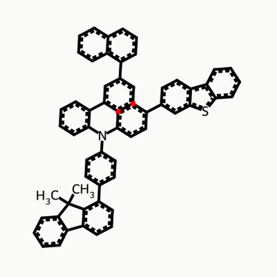 CC1(C)c2ccccc2-c2cccc(-c3ccc(N(c4ccc(-c5ccc6c(c5)sc5ccccc56)cc4)c4ccccc4-c4cccc(-c5cccc6ccccc56)c4)cc3)c21